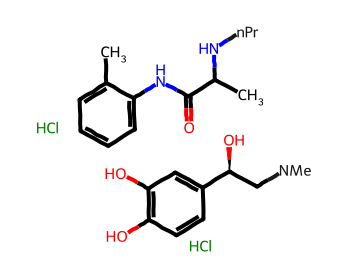 CCCNC(C)C(=O)Nc1ccccc1C.CNC[C@H](O)c1ccc(O)c(O)c1.Cl.Cl